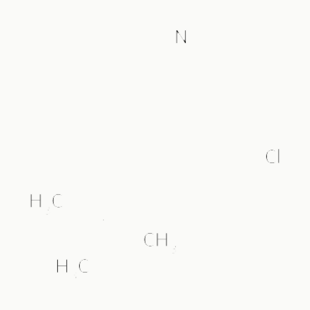 CC(C)(C)c1ccc2nccc(Cl)c2c1